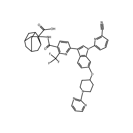 N#Cc1cccc(-n2cc(-c3ccc(C(=O)NC4(C(=O)O)C5CCC6CC(C5)CC4C6)c(C(F)(F)F)n3)c3ccc(OC4CCN(c5ncccn5)CC4)cc32)n1